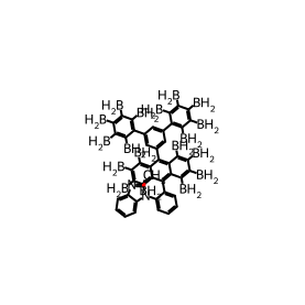 Bc1c(B)c(B)c(-c2cc(-c3c(B)c(B)c(B)c(B)c3B)cc(-c3c4c(B)c(B)c(B)c(B)c4c(-c4ccccc4-n4c(C)nc5ccccc54)c4c(B)c(B)c(B)c(B)c34)c2)c(B)c1B